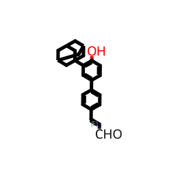 O=C/C=C/c1ccc(-c2ccc(O)c(C34CC5CC(CC(C5)C3)C4)c2)cc1